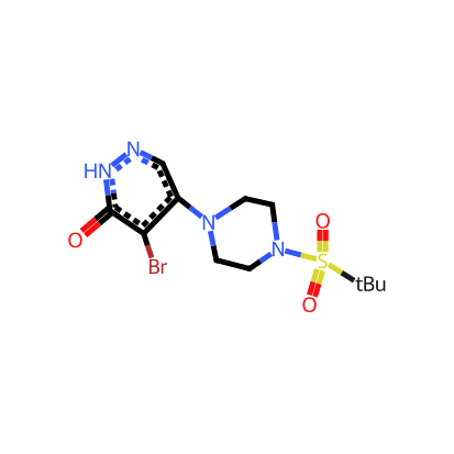 CC(C)(C)S(=O)(=O)N1CCN(c2cn[nH]c(=O)c2Br)CC1